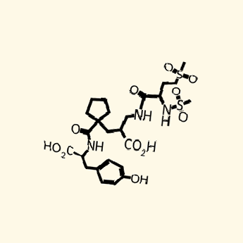 CS(=O)(=O)CCC(NS(C)(=O)=O)C(=O)NCC(CC1(C(=O)N[C@@H](Cc2ccc(O)cc2)C(=O)O)CCCC1)C(=O)O